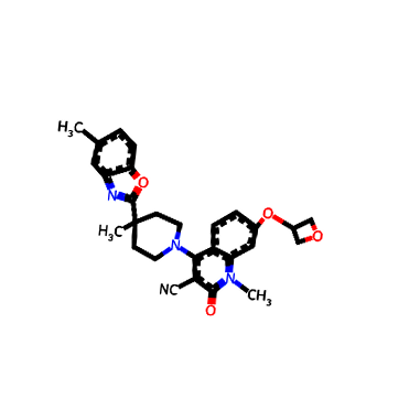 Cc1ccc2oc(C3(C)CCN(c4c(C#N)c(=O)n(C)c5cc(OC6COC6)ccc45)CC3)nc2c1